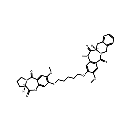 COc1cc2c(cc1OCCCCCOc1cc3c(cc1OC)C(=O)N1Cc4ccccc4C[C@H]1C(=O)N3C)NC(=O)[C@@H]1CCCN1C2=O